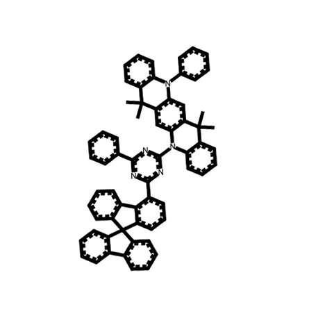 CC1(C)c2ccccc2N(c2ccccc2)c2cc3c(cc21)N(c1nc(-c2ccccc2)nc(-c2cccc4c2-c2ccccc2C42c4ccccc4-c4ccccc42)n1)c1ccccc1C3(C)C